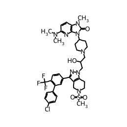 CN(C)c1ccc2c(n1)n(C1CCN(CC(O)Cn3nc(-c4ccc(C(F)(F)F)c(-c5ccc(Cl)cc5)c4)c4c3CCN(S(C)(=O)=O)C4)CC1)c(=O)n2C